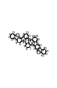 c1cc2c3c(c1)-n1c4ccc5c6ccccc6oc5c4c4cccc(c41)B3c1cccc3c4cc5c(cc4n-2c13)oc1ccccc15